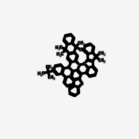 CC(C)(C)c1ccc(N2c3cc4c(cc3B3c5c2cc2c(sc6ccccc62)c5-c2cccc5c6c(n3c25)-c2ccccc2C6(C)C)C(C)(C)c2ccccc2C4(C)C)c(-c2ccccc2)c1